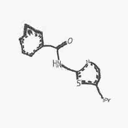 CC(C)c1cnc(NC(=O)c2ccccc2)s1